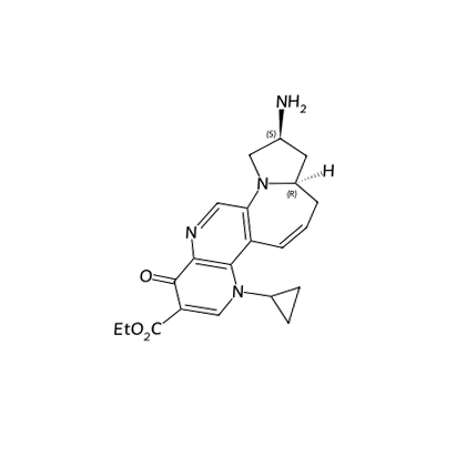 CCOC(=O)c1cn(C2CC2)c2c3c(cnc2c1=O)N1C[C@@H](N)C[C@H]1CC=C3